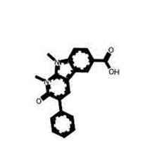 Cn1c(=O)c(-c2ccccc2)cc2c3cc(C(=O)O)ccc3n(C)c21